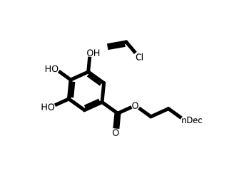 C=CCl.CCCCCCCCCCCCOC(=O)c1cc(O)c(O)c(O)c1